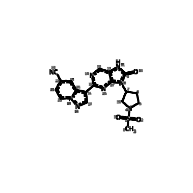 CS(=O)(=O)N1CCC(n2c(=O)[nH]c3cnc(-c4cnn5ccc(C#N)cc45)nc32)C1